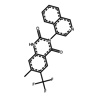 Cc1cc2[nH]c(=O)n(-c3cncc4ccccc34)c(=O)c2cc1C(F)(F)F